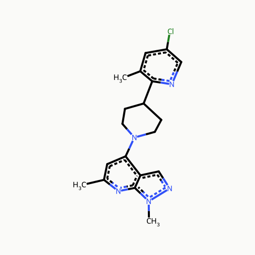 Cc1cc(N2CCC(c3ncc(Cl)cc3C)CC2)c2cnn(C)c2n1